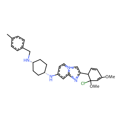 COC1=CC(Cl)(OC)C(c2cn3ccc(N[C@H]4CC[C@@H](NCc5ccc(C)cc5)CC4)cc3n2)C=C1